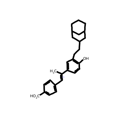 C/C(=C\c1ccc(C(=O)O)cc1)c1ccc(O)c(CCC2CC3CCCC(C3)C2)c1